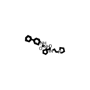 O=C(Nc1ccc(-c2ccccc2)cc1)NC1(C(=O)NCCN2CCCC2)CCCC1